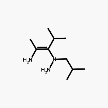 C/C(N)=C(\C(C)C)N(N)CC(C)C